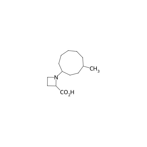 CC1CCCCCC(N2CCC2C(=O)O)CC1